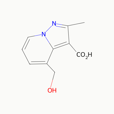 Cc1nn2cccc(CO)c2c1C(=O)O